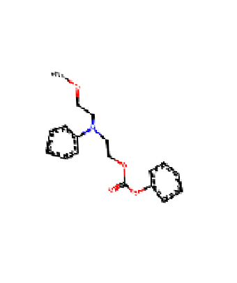 CCCCOCCN(CCOC(=O)Oc1ccccc1)c1ccccc1